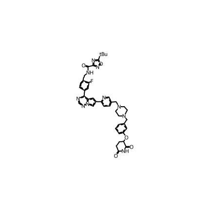 CC(C)(C)c1nc(C(=O)NCc2ccc(-c3ncnn4cc(-c5ccc(CN6CCN(Cc7cccc(OC8CCC(=O)NC8=O)c7)CC6)cn5)cc34)cc2F)no1